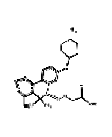 CNC(=O)CO/N=C1\c2cc(O[C@H]3CC[C@H](N)CC3)ccc2-c2ncnc(N)c2C1(C)C